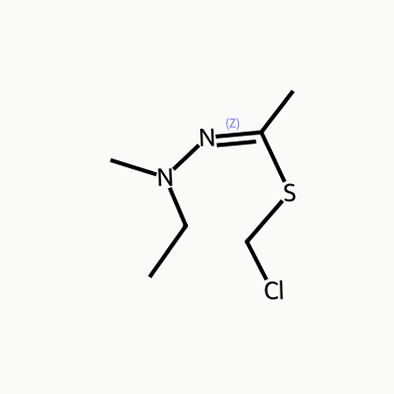 CCN(C)/N=C(/C)SCCl